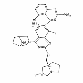 C#Cc1cccc2cc(N)nc(-c3c(F)cc4c(N5CC6CCC(C5)N6)nc(OC[C@@]56CCCN5C[C@H](F)C6)nc4c3F)c12